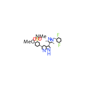 CNS(=O)(=O)c1cc(-c2cnc3[nH]cc(-c4c(C)nn(Cc5cc(F)ccc5F)c4C)c3c2)ccc1OC